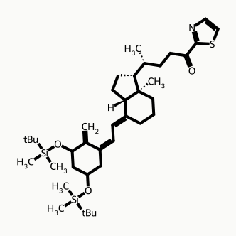 C=C1C(=CC=C2CCC[C@]3(C)[C@@H]([C@H](C)CCC(=O)c4nccs4)CC[C@@H]23)CC(O[Si](C)(C)C(C)(C)C)CC1O[Si](C)(C)C(C)(C)C